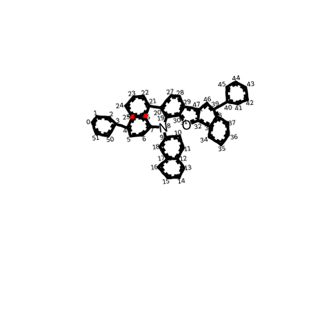 c1ccc(-c2ccc(N(c3ccc4ccccc4c3)c3c(-c4ccccc4)ccc4c3oc3c5ccccc5c(-c5ccccc5)cc43)cc2)cc1